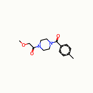 COCC(=O)N1CCN(C(=O)c2ccc(C)cc2)CC1